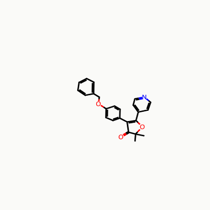 CC1(C)OC(c2ccncc2)=C(c2ccc(OCc3ccccc3)cc2)C1=O